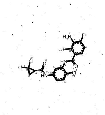 Nc1c(F)ccc(C(=O)Nc2cc(NC(=O)C3CC3(Cl)Cl)ccc2Cl)c1F